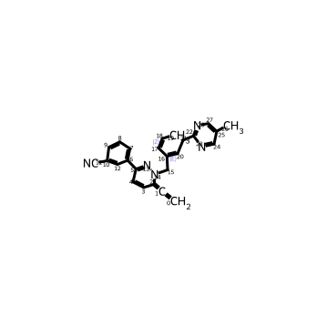 C=C=C1C=CC(c2cccc(C#N)c2)=NN1CC(/C=C\C)=C/Cc1ncc(C)cn1